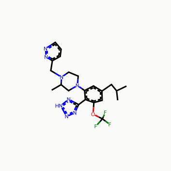 CC(C)Cc1cc(OC(F)(F)F)c(-c2nn[nH]n2)c(N2CCN(Cc3cccnn3)C(C)C2)c1